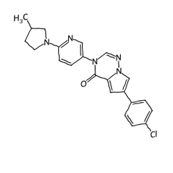 CC1CCN(c2ccc(-n3cnn4cc(-c5ccc(Cl)cc5)cc4c3=O)cn2)C1